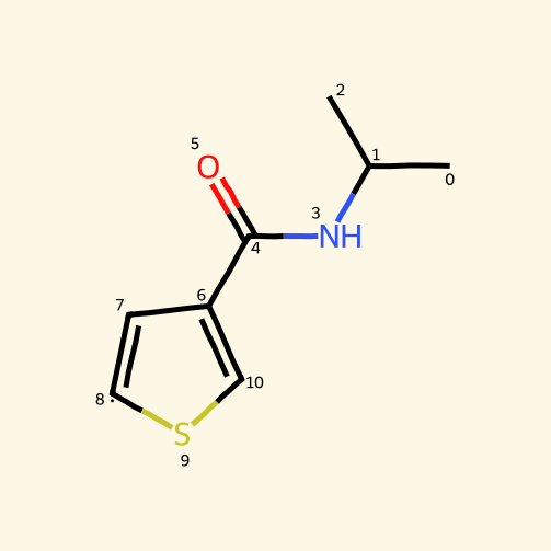 CC(C)NC(=O)c1c[c]sc1